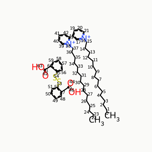 CCCCCCCCCCCCCCCC[n+]1ccccc1.CCCCCCCCCCCCCCCC[n+]1ccccc1.O=C(O)c1ccccc1SSc1ccccc1C(=O)O